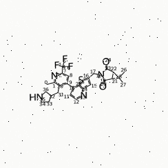 Cc1nc(C(F)(F)F)cc(-c2ccnc3cc(CN4C(=O)C5C(C4=O)C5(C)C)sc23)c1CC1CCNC1